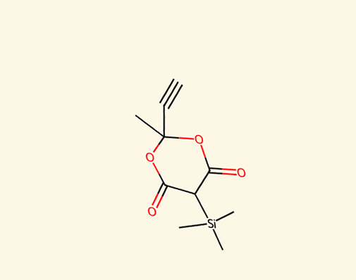 C#CC1(C)OC(=O)C([Si](C)(C)C)C(=O)O1